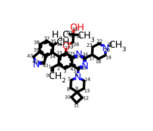 C=Cc1cc2c(N3CCC4(CCC4)CC3)nc(C3CCN(C)CC3)nc2c(OCC(C)(C)O)c1-c1c(C)ccc2c1C=NC2